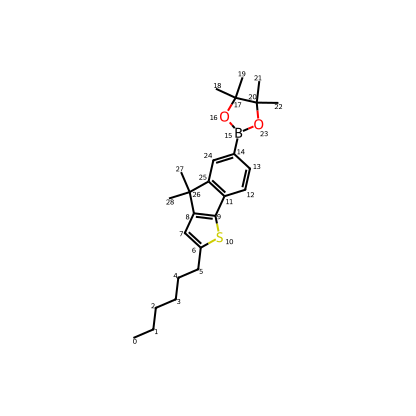 CCCCCCc1cc2c(s1)-c1ccc(B3OC(C)(C)C(C)(C)O3)cc1C2(C)C